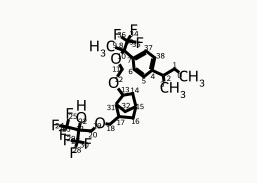 CCC(C)c1ccc(C(C)(OCOC2CC3CC(COCC(O)(C(F)(F)F)C(F)(F)F)C2C3)C(F)(F)F)cc1